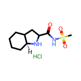 CS(=O)(=O)NC(=O)C1CC2CCCC[C@@H]2N1.Cl